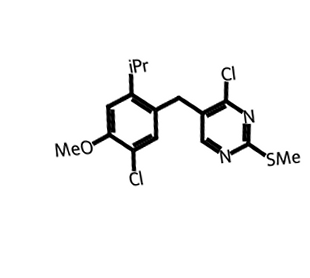 COc1cc(C(C)C)c(Cc2cnc(SC)nc2Cl)cc1Cl